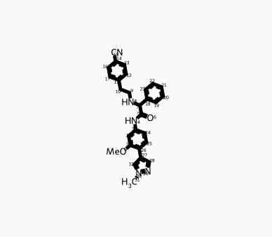 COc1cc(NC(=O)C(NCCc2ccc(C#N)cc2)c2ccccc2)ccc1-c1cnn(C)c1